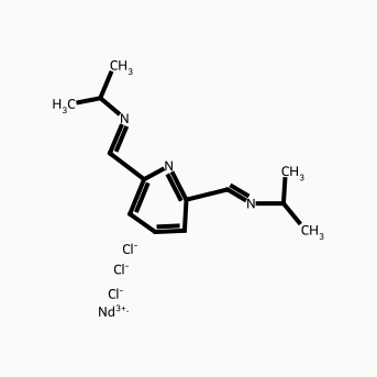 CC(C)N=Cc1cccc(C=NC(C)C)n1.[Cl-].[Cl-].[Cl-].[Nd+3]